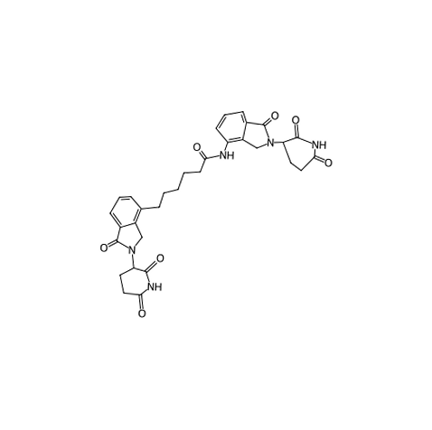 O=C1CCC(N2Cc3c(CCCCCC(=O)Nc4cccc5c4CN(C4CCC(=O)NC4=O)C5=O)cccc3C2=O)C(=O)N1